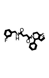 O=C(CCC(=O)N1CCc2sccc2C1c1ccccc1)NCc1cccc(F)c1